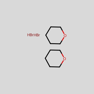 Br.Br.C1CCOCC1.C1CCOCC1